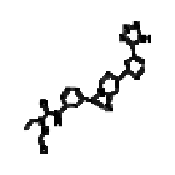 CCN(OC=O)C(=O)Nc1cccc(-c2cnc3cc(-c4cccc(-c5nnn[nH]5)c4)ccn23)c1